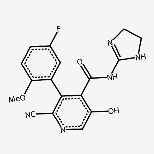 COc1ccc(F)cc1-c1c(C#N)ncc(O)c1C(=O)NC1=NCCN1